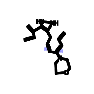 C=C/C=C(\C=C/Cc1[nH][nH]c1C(=C)C=C)N1CCOCC1